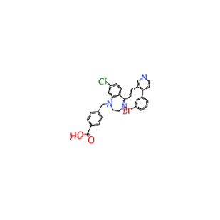 O=C(O)c1ccc(CN2CCN=C(/C=C/c3cnccc3-c3cccc(Br)c3)c3ccc(Cl)cc32)cc1